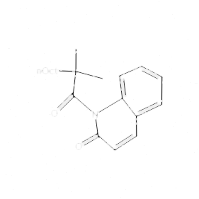 CCCCCCCCC(C)(C)C(=O)n1c(=O)ccc2ccccc21